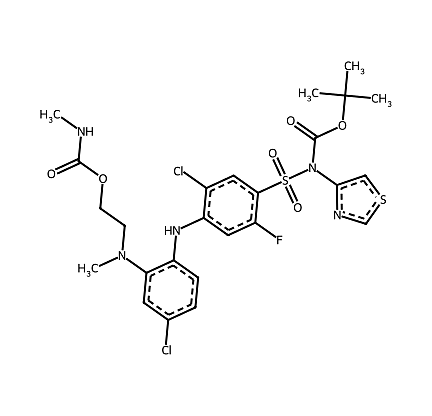 CNC(=O)OCCN(C)c1cc(Cl)ccc1Nc1cc(F)c(S(=O)(=O)N(C(=O)OC(C)(C)C)c2cscn2)cc1Cl